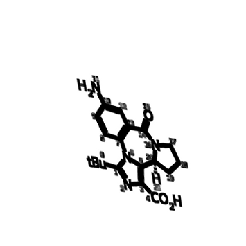 CC(C)(C)c1nc(C(=O)O)c2n1-c1ccc(N)cc1C(=O)N1CCC[C@@H]21